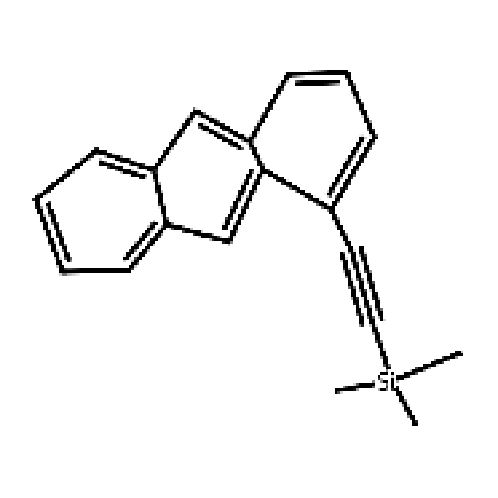 C[Si](C)(C)C#Cc1cccc2cc3ccccc3cc12